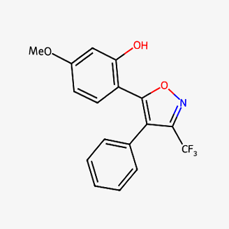 COc1ccc(-c2onc(C(F)(F)F)c2-c2ccccc2)c(O)c1